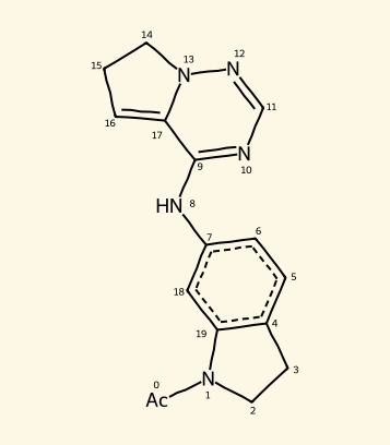 CC(=O)N1CCc2ccc(NC3=NC=NN4CCC=C34)cc21